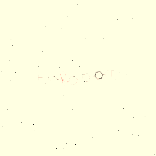 C=CCC(=O)OC1CCC([C@H]2CC[C@H](c3ccc(C(F)(F)F)cc3)CC2)CC1